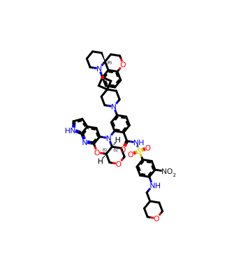 O=C(NS(=O)(=O)c1ccc(NCC2CCOCC2)c([N+](=O)[O-])c1)c1ccc(N2CCC3(CC2)CC(N2CCCC[C@]24CCOc2ccccc24)C3)cc1N1c2cc3cc[nH]c3nc2O[C@@H]2COCC[C@@H]21